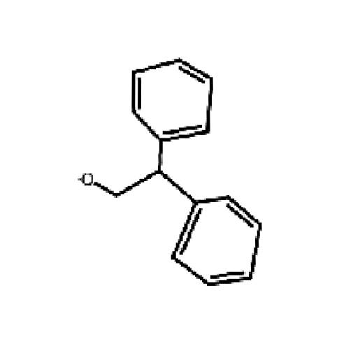 [O]CC(c1ccccc1)c1ccccc1